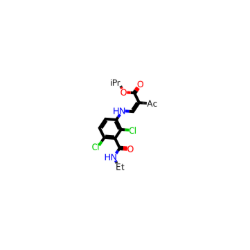 CCNC(=O)c1c(Cl)ccc(NC=C(C(C)=O)C(=O)OC(C)C)c1Cl